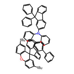 CC(C)(C)c1ccc2c(c1)C1(c3cc(C(C)(C)C)ccc3O2)c2ccccc2-c2c(-c3ccccc3N(c3ccc4c(c3)C(c3ccccc3)(c3ccccc3)c3ccccc3-4)c3ccccc3-c3ccc(-c4ccccc4)cc3)cccc21